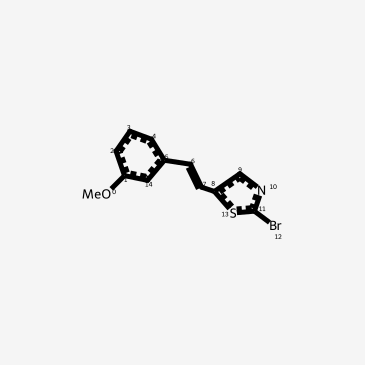 COc1cccc(C=Cc2cnc(Br)s2)c1